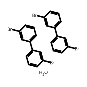 Brc1cccc(-c2cccc(Br)c2)c1.Brc1cccc(-c2cccc(Br)c2)c1.O